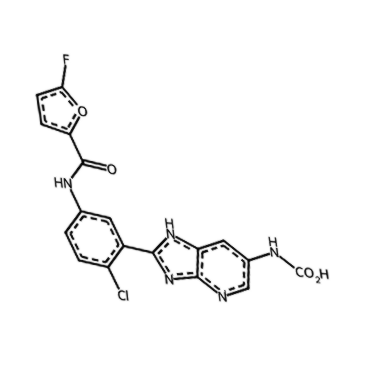 O=C(O)Nc1cnc2nc(-c3cc(NC(=O)c4ccc(F)o4)ccc3Cl)[nH]c2c1